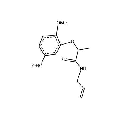 C=CCNC(=O)C(C)Oc1cc(C=O)ccc1OC